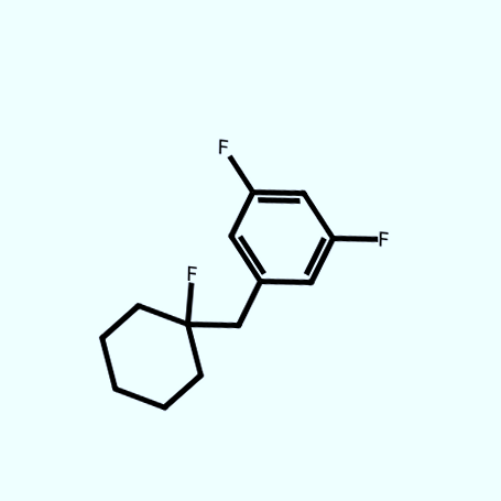 Fc1cc(F)cc(CC2(F)CCCCC2)c1